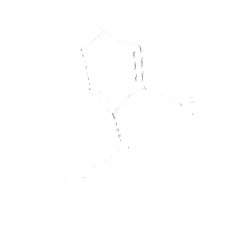 FC(F)(F)OC1=CCCC=C1C(F)(F)F